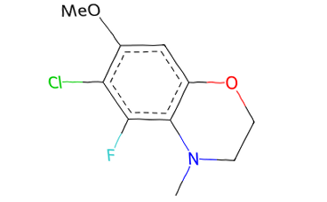 COc1cc2c(c(F)c1Cl)N(C)CCO2